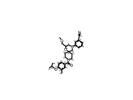 COCC1CN(c2cccc(C#N)c2)CC2(CCN(C(=O)c3ccc(OC(C)C)c(C)c3)CC2)O1